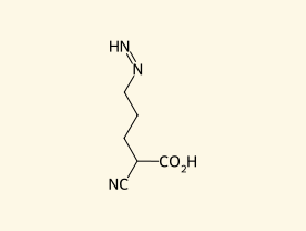 N#CC(CCCN=N)C(=O)O